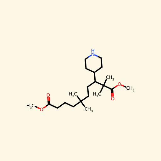 COC(=O)CCCC(C)(C)CCC(C1CCNCC1)C(C)(C)C(=O)OC